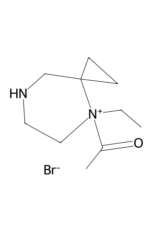 CC[N+]1(C(C)=O)CCNCC12CC2.[Br-]